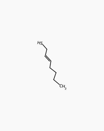 CCCCC=CCS